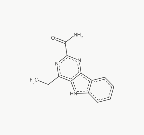 NC(=O)c1nc(CC(F)(F)F)c2[nH]c3ccccc3c2n1